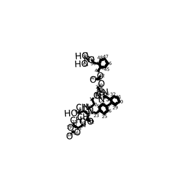 CCCc1nc(C(C)(C)O)c(C(=O)OCc2oc(=O)oc2C)n1Cc1ccc(-c2ccccc2-c2nnn(COC(=O)OCc3ccccc3CON(O)O)n2)cc1